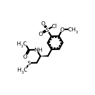 COc1ccc(C[C@@H](CSC)NC(C)=O)cc1S(=O)(=O)Cl